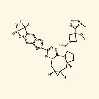 COC1(c2nccn2C)CN(C(=O)[C@@H]2CC[C@@H]3C[C@@H]4C[C@@H]4C[C@H](NC(=O)c4cc5cc(C(F)(F)P(=O)(O)O)ccc5s4)C(=O)N32)C1